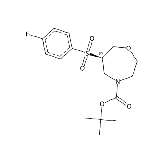 CC(C)(C)OC(=O)N1CCOC[C@H](S(=O)(=O)c2ccc(F)cc2)C1